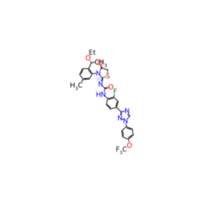 CCOC(C)c1ccc(C)cc1N1C(=O)CS/C1=N\C(=O)Nc1ccc(-c2ncn(-c3ccc(OC(F)(F)F)cc3)n2)cc1F